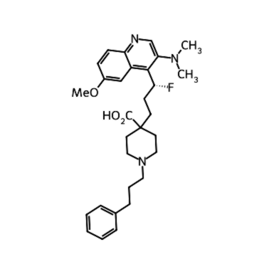 COc1ccc2ncc(N(C)C)c([C@H](F)CCC3(C(=O)O)CCN(CCCc4ccccc4)CC3)c2c1